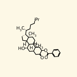 CC(C)CCC[C@@H](C)[C@H]1CC[C@H]2[C@@H]3[C@H](O)CC4CC(=O)C(OC(=O)c5ccccc5)C[C@]4(C)[C@H]3CC[C@]12C